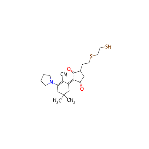 CC1(C)CC(N2CCCC2)=C(C#N)/C(=C2/C(=O)CC(CCSCCS)C2=O)C1